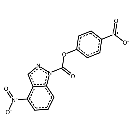 O=C(Oc1ccc([N+](=O)[O-])cc1)n1ncc2c([N+](=O)[O-])cccc21